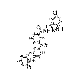 O=C(NCc1n[nH]c2ccc(Cl)cc12)c1cccc(C(=O)c2ccc(Cn3ccccc3=O)cc2)c1